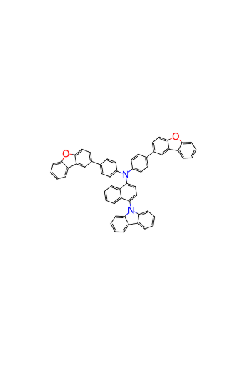 c1ccc2c(c1)oc1ccc(-c3ccc(N(c4ccc(-c5ccc6oc7ccccc7c6c5)cc4)c4ccc(-n5c6ccccc6c6ccccc65)c5ccccc45)cc3)cc12